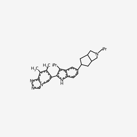 Cc1c(-c2[nH]c3ccc(C4CC5CN(C(C)C)CC5C4)cc3c2C(C)C)cn2cnnc2c1C